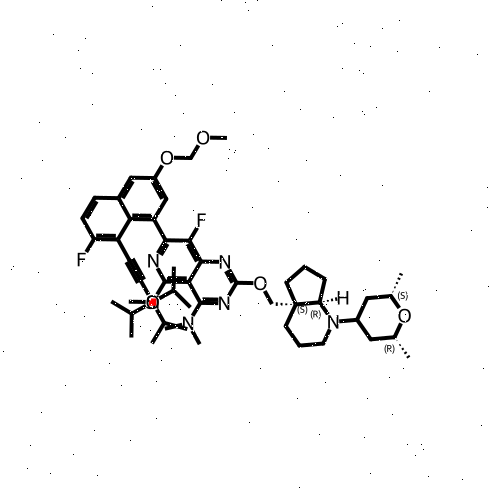 COCOc1cc(-c2nc(OC)c3c(N(C)C)nc(OC[C@]45CCC[C@H]4N(C4C[C@@H](C)O[C@@H](C)C4)CCC5)nc3c2F)c2c(C#C[Si](C(C)C)(C(C)C)C(C)C)c(F)ccc2c1